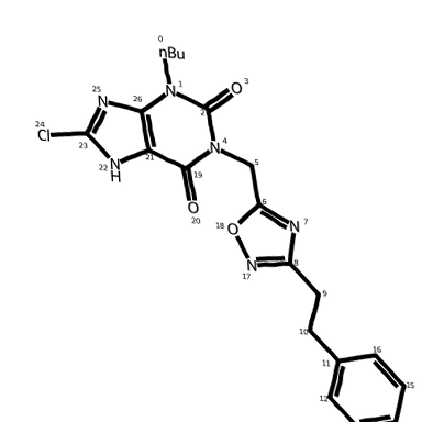 CCCCn1c(=O)n(Cc2nc(CCc3ccccc3)no2)c(=O)c2[nH]c(Cl)nc21